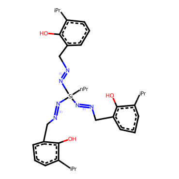 CCC[Si](/N=N/Cc1cccc(C(C)C)c1O)(/N=N/Cc1cccc(C(C)C)c1O)/N=N/Cc1cccc(C(C)C)c1O